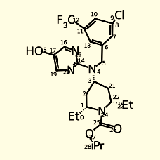 CC[C@@H]1C[C@H](N(Cc2cc(Cl)cc(C(F)(F)F)c2)c2ncc(O)cn2)C[C@H](CC)N1C(=O)OC(C)C